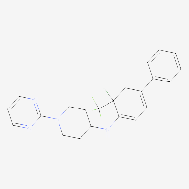 FC(F)(F)C1(Cl)CC(c2ccccc2)=CC=C1NC1CCN(c2ncccn2)CC1